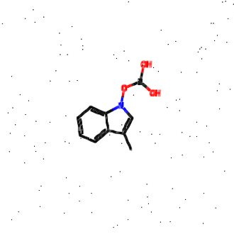 Cc1cn(OB(O)O)c2ccccc12